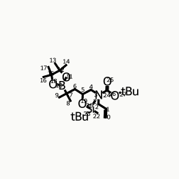 C=CCN(CC(CC(C)(C)B1OC(C)(C)C(C)(C)O1)O[Si](C)(C)C(C)(C)C)C(=O)OC(C)(C)C